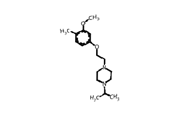 COc1cc(OCCN2CCN(C(C)C)CC2)ccc1C